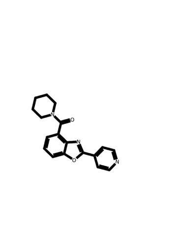 O=C(c1cccc2oc(-c3ccncc3)nc12)N1CCCCC1